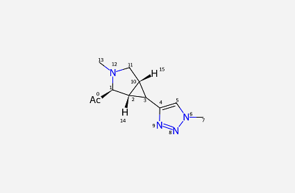 CC(=O)[C@@H]1[C@H]2C(c3cn(C)nn3)[C@H]2CN1C